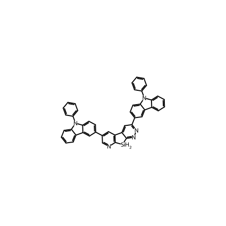 c1ccc(-n2c3ccccc3c3cc(-c4cnc5c(c4)-c4cc(-c6ccc7c(c6)c6ccccc6n7-c6ccccc6)nnc4[SiH2]5)ccc32)cc1